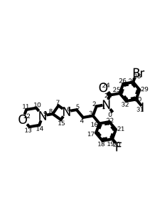 CN(CC(CCN1CC(N2CCOCC2)C1)c1ccc(F)cc1)C(=O)c1cc(Br)cc(I)c1